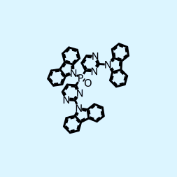 O=P(c1ccnc(-n2c3ccccc3c3ccccc32)n1)(c1ccnc(-n2c3ccccc3c3ccccc32)n1)n1c2ccccc2c2ccccc21